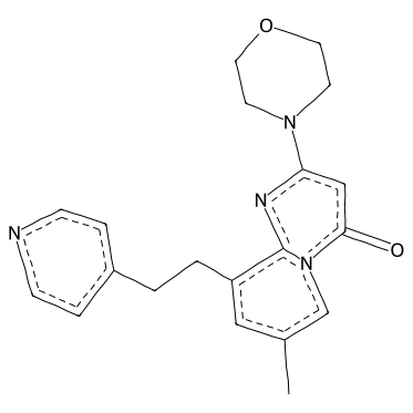 Cc1cc(CCc2ccncc2)c2nc(N3CCOCC3)cc(=O)n2c1